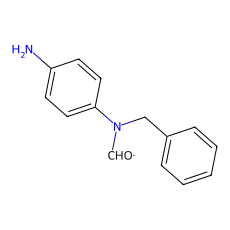 Nc1ccc(N([C]=O)Cc2ccccc2)cc1